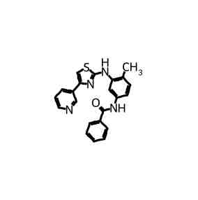 Cc1ccc(NC(=O)c2ccccc2)cc1Nc1nc(-c2cccnc2)cs1